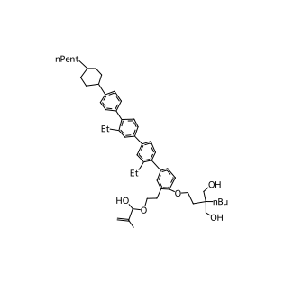 C=C(C)C(O)OCCc1cc(-c2ccc(-c3ccc(-c4ccc(C5CCC(CCCCC)CC5)cc4)c(CC)c3)cc2CC)ccc1OCCC(CO)(CO)CCCC